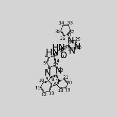 O=C(Nc1ccc2nc(-c3ccccc3)c(-c3ccccc3)nc2c1)Nc1nncn1-c1ccccc1